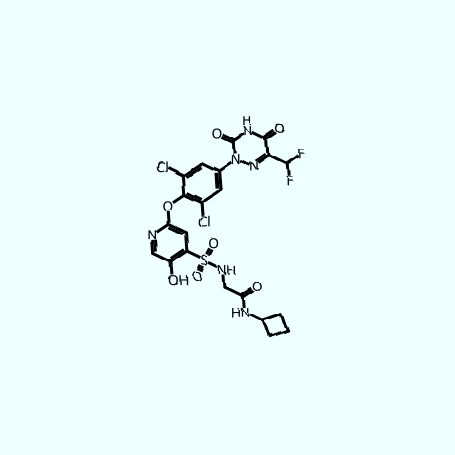 O=C(CNS(=O)(=O)c1cc(Oc2c(Cl)cc(-n3nc(C(F)F)c(=O)[nH]c3=O)cc2Cl)ncc1O)NC1CCC1